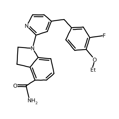 CCOc1ccc(Cc2ccnc(N3CCc4c(C(N)=O)cccc43)c2)cc1F